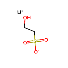 O=S(=O)([O-])CCO.[Li+]